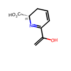 C=C(O)C1=N[C@H](C(=O)O)CC=C1